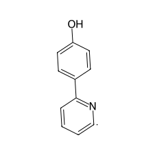 Oc1ccc(-c2ccc[c]n2)cc1